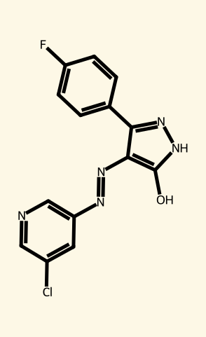 Oc1[nH]nc(-c2ccc(F)cc2)c1/N=N/c1cncc(Cl)c1